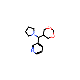 c1cncc(C(C2COCOC2)N2CCCC2)c1